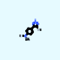 CN(C)c1ccc(-c2n[nH]nc2C#N)cc1